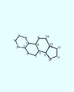 [CH]1CCC2C(C1)CCC1C3CCCC3CCC21